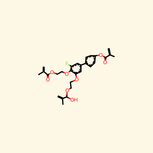 C=C(C)C(=O)OCCOc1c(F)cc(-c2ccc(OC(=O)C(=C)C)cc2)cc1OCCOC(O)C(=C)C